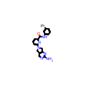 CC(C)c1cccc(NC(=O)c2cccc(N3Cc4cnc(N)nc4C3)n2)c1